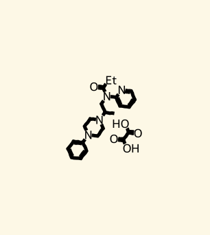 CCC(=O)N(CC(C)N1CCN(c2ccccc2)CC1)c1ccccn1.O=C(O)C(=O)O